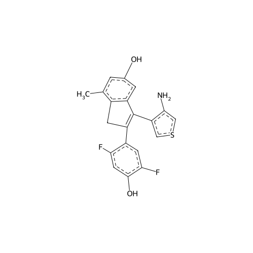 Cc1cc(O)cc2c1CC(c1cc(F)c(O)cc1F)=C2c1cscc1N